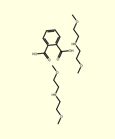 COCCNCCOC.COCCNCCOC.O=C(O)c1ccccc1C(=O)O